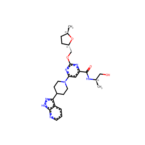 C[C@H](CO)NC(=O)c1cc(N2CCC(c3n[nH]c4ncccc34)CC2)nc(OC[C@@H]2CC[C@@H](C)O2)n1